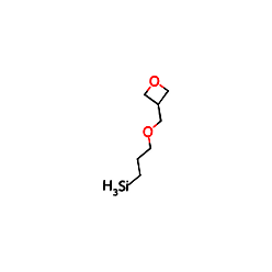 [SiH3]CCCOCC1COC1